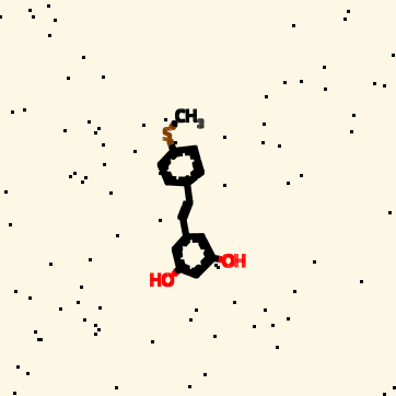 CSc1ccc(/C=C/c2cc(O)cc(O)c2)cc1